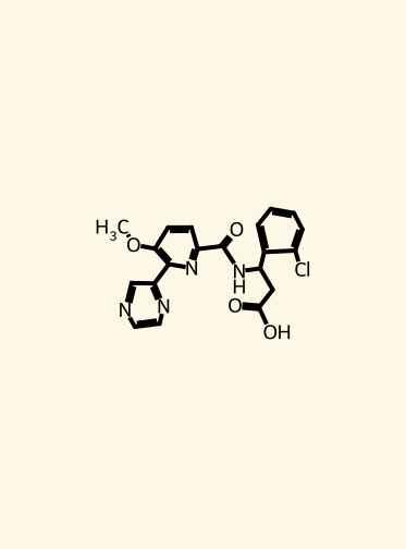 COc1ccc(C(=O)NC(CC(=O)O)c2ccccc2Cl)nc1-c1cnccn1